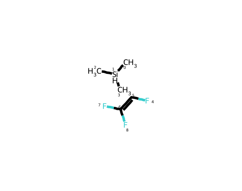 C[SiH](C)C.FC=C(F)F